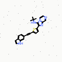 CC(C)(C)Nc1c(-c2ccc(C#Cc3ccc4cc[nH]c4c3)s2)nc2cnccn12